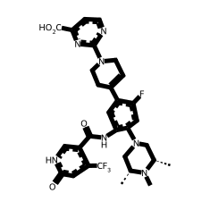 C[C@@H]1CN(c2cc(F)c(C3=CCN(c4nccc(C(=O)O)n4)CC3)cc2NC(=O)c2c[nH]c(=O)cc2C(F)(F)F)C[C@H](C)N1C